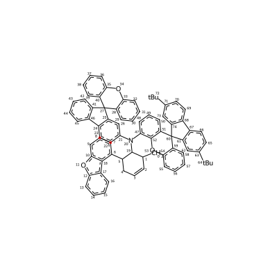 CC1C=CCC(c2cccc3oc4ccccc4c23)C1N(c1ccc2c(c1)C1(c3ccccc3Oc3ccccc31)c1ccccc1-2)c1cccc2c1Oc1ccccc1C21c2cc(C(C)(C)C)ccc2-c2ccc(C(C)(C)C)cc21